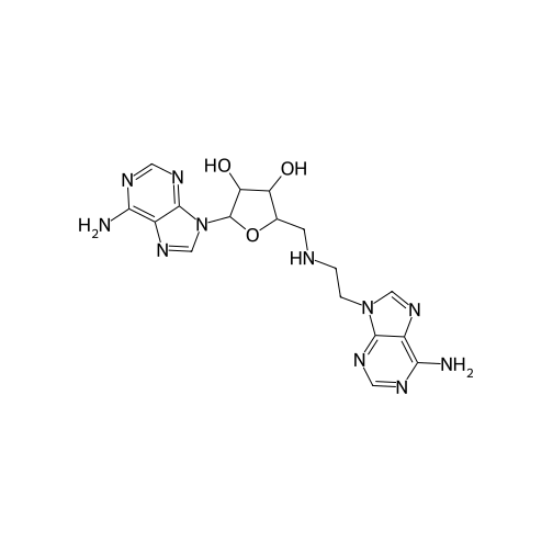 Nc1ncnc2c1ncn2CCNCC1OC(n2cnc3c(N)ncnc32)C(O)C1O